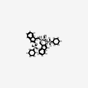 C[Si](C)(OC1=Cc2ccccc2C1C[SiH](CC1C(O[Si](C)(C)C2CCCCC2)=Cc2ccccc21)[Zr]([Cl])[Cl])C1CCCCC1